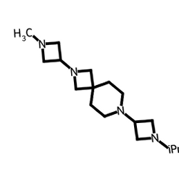 CC(C)N1CC(N2CCC3(CC2)CN(C2CN(C)C2)C3)C1